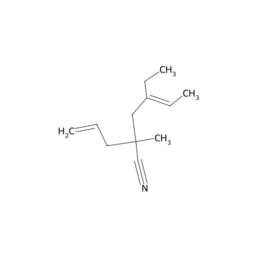 C=CCC(C)(C#N)CC(=CC)CC